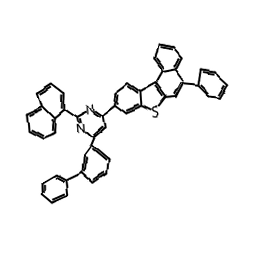 c1ccc(-c2cccc(-c3cc(-c4ccc5c(c4)sc4cc(-c6ccccc6)c6ccccc6c45)nc(-c4cccc5ccccc45)n3)c2)cc1